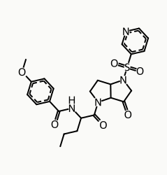 CCCC(NC(=O)c1ccc(OC)cc1)C(=O)N1CCC2C1C(=O)CN2S(=O)(=O)c1cccnc1